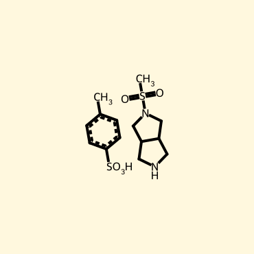 CS(=O)(=O)N1CC2CNCC2C1.Cc1ccc(S(=O)(=O)O)cc1